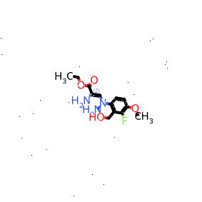 CCOC(=O)/C(N)=C/N(N)c1ccc(OC)c(F)c1CO